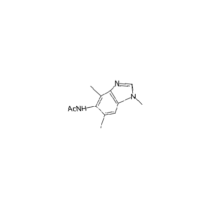 CC(=O)Nc1c(C)cc2c(ncn2C)c1C